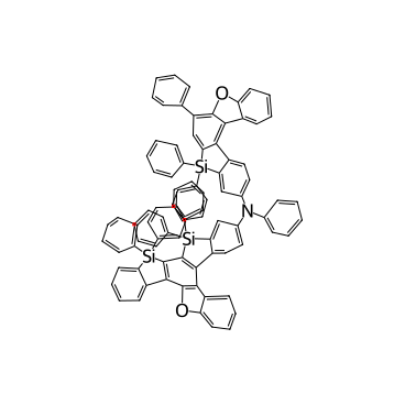 c1ccc(-c2cc3c(c4c2oc2ccccc24)-c2ccc(N(c4ccccc4)c4ccc5c(c4)[Si](c4ccccc4)(c4ccccc4)c4c6c(c7oc8ccccc8c7c4-5)-c4ccccc4[Si]6(c4ccccc4)c4ccccc4)cc2[Si]3(c2ccccc2)c2ccccc2)cc1